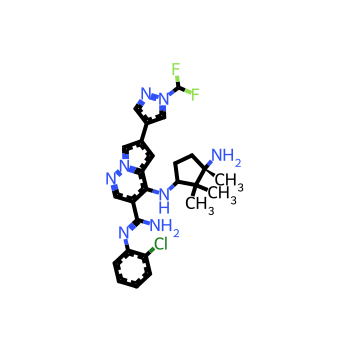 CC1(C)C(Nc2c(/C(N)=N/c3ccccc3Cl)cnn3cc(-c4cnn(C(F)F)c4)cc23)CC[C@]1(C)N